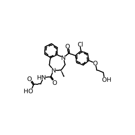 C[C@@H]1CN(C(=O)c2ccc(OCCO)cc2Cl)c2ccccc2CN1C(=O)NCC(=O)O